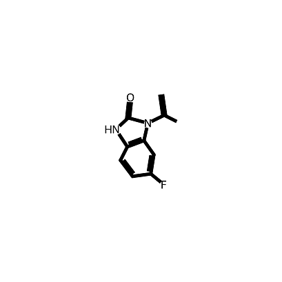 C=C(C)n1c(=O)[nH]c2ccc(F)cc21